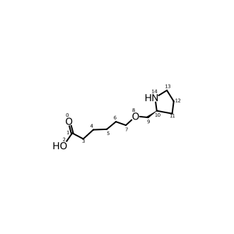 O=C(O)CCCCCOC[C@@H]1CCCN1